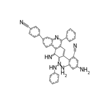 N#Cc1ccc(-c2ccc3c4c(c(-c5ccccc5)nc3c2)C=C(c2c(N)cc(N)cc2C#N)/C(=N/Nc2ccccc2)C4=N)cc1